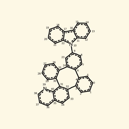 c1ccc2c(c1)-c1ccc(-n3c4ccccc4c4ccccc43)cc1-c1ccccc1-c1c-2ccc2cccnc12